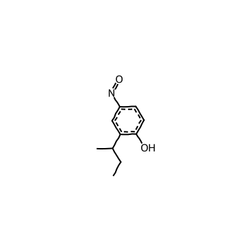 CCC(C)c1cc(N=O)ccc1O